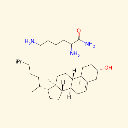 CC(C)CCCC(C)[C@H]1CC[C@H]2[C@@H]3CC=C4C[C@@H](O)CC[C@]4(C)[C@H]3CC[C@]12C.NCCCCC(N)C(N)=O